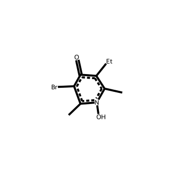 CCc1c(C)n(O)c(C)c(Br)c1=O